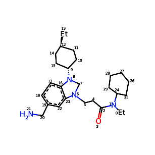 CCN(C(=O)CCN1CN([C@H]2CC[C@H](CC)CC2)c2ccc(CN)cc21)C1CCCCC1